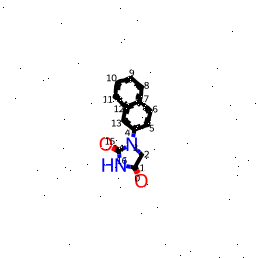 O=C1CN(c2ccc3ccccc3c2)C(=O)N1